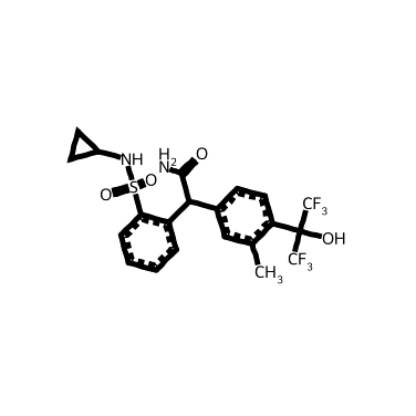 Cc1cc(C(C(N)=O)c2ccccc2S(=O)(=O)NC2CC2)ccc1C(O)(C(F)(F)F)C(F)(F)F